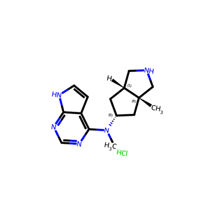 CN(c1ncnc2[nH]ccc12)[C@@H]1C[C@@H]2CNC[C@]2(C)C1.Cl